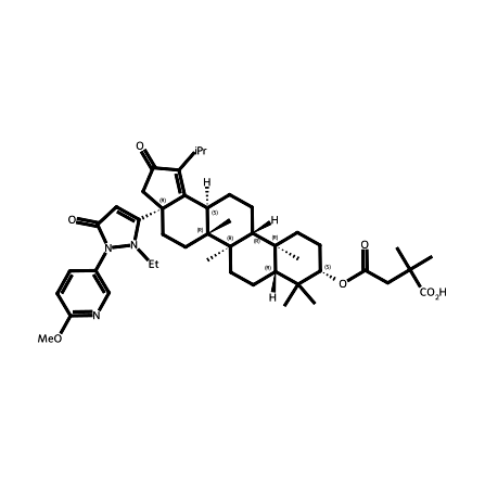 CCn1c([C@@]23CC[C@]4(C)[C@H](CC[C@@H]5[C@@]6(C)CC[C@H](OC(=O)CC(C)(C)C(=O)O)C(C)(C)[C@@H]6CC[C@]54C)C2=C(C(C)C)C(=O)C3)cc(=O)n1-c1ccc(OC)nc1